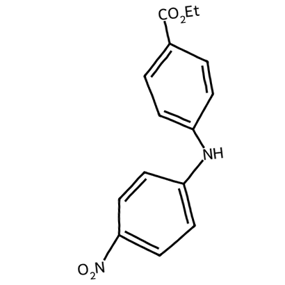 CCOC(=O)c1ccc(Nc2ccc([N+](=O)[O-])cc2)cc1